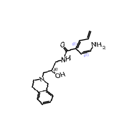 C=C/C=C(\C=C/N)C(=O)NC[C@@H](O)CN1CCc2ccccc2C1